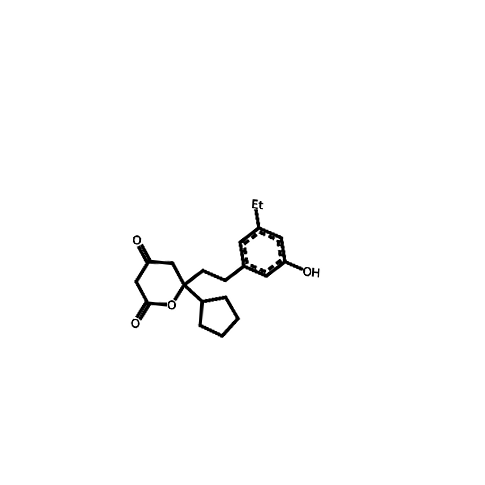 CCc1cc(O)cc(CCC2(C3CCCC3)CC(=O)CC(=O)O2)c1